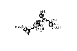 CC1=NC2=CN(S(=O)(=O)O)NN2C(SCC2=C(C(=O)O)N3C(=O)[C@@H](NC(=O)/C(=N\OCc4ccc(C(=O)O)c(O)c4O)c4csc(N)n4)[C@H]3SC2)=C1